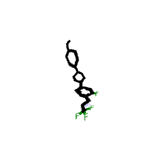 CCC1CCC(C2CCC(c3ccc(/C=C/C(F)(F)F)c(F)c3)CC2)CC1